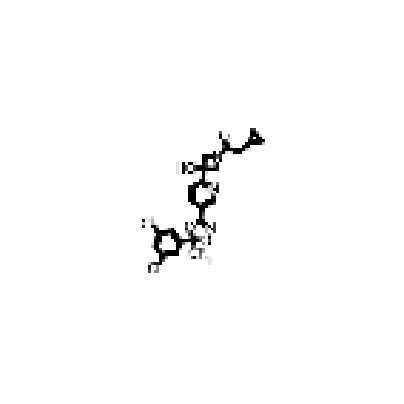 O=C(CC1CC1)N1CC(O)(c2ccc(C3=NOC(c4cc(Cl)cc(Cl)c4)(C(F)(F)F)O3)cn2)C1